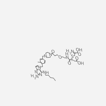 CCCCCNc1nc(N)nc2ccn(Cc3ccc(CN4CCN(C(=O)CCOCCNC(=O)[C@H](CC(=O)O)SC[C@H](N)C(=O)O)CC4)cc3C)c12